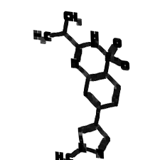 CC(C)C1=Nc2cc(-c3cnn(C)c3)ccc2S(=O)(=O)N1